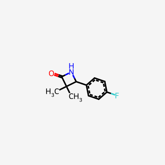 CC1(C)C(=O)NC1c1ccc(F)cc1